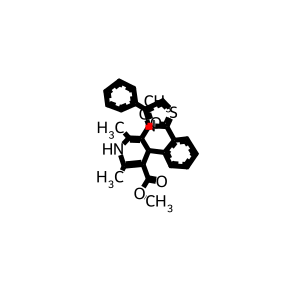 COC(=O)C1=C(C)NC(C)=C(C(=O)OC)C1c1ccccc1-c1nc(-c2ccccc2)cs1